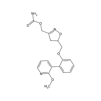 COc1ncccc1-c1ccccc1OCC1CC(COC(N)=O)=NO1